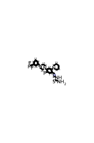 NC(=S)N/N=C/c1cc(F)c(N2CCN(c3cccc(C(F)(F)F)c3)CC2)cc1N1CCCCC1